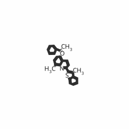 Cc1c(-c2ccc3c(O[C@@H](C)c4ccccc4)ccc(C)c3n2)sc2ccccc12